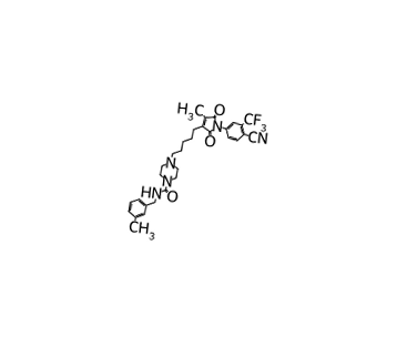 CC1=C(CCCCCN2CCN(C(=O)NCc3cccc(C)c3)CC2)C(=O)N(c2ccc(C#N)c(C(F)(F)F)c2)C1=O